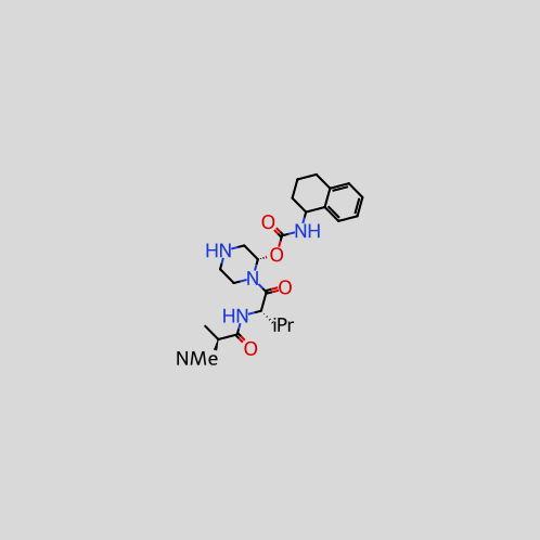 CN[C@@H](C)C(=O)N[C@H](C(=O)N1CCNC[C@@H]1OC(=O)NC1CCCc2ccccc21)C(C)C